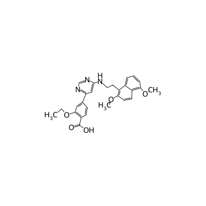 CCOc1cc(-c2cc(NCCc3c(OC)ccc4c(OC)cccc34)ncn2)ccc1C(=O)O